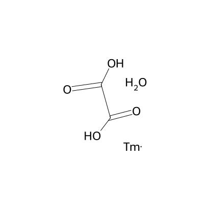 O.O=C(O)C(=O)O.[Tm]